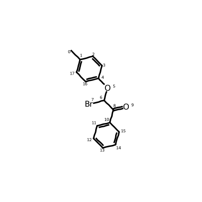 Cc1ccc(OC(Br)C(=O)c2ccccc2)cc1